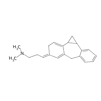 CN(C)CCC=C1C=C2Cc3ccccc3C3CC3C2=CC1